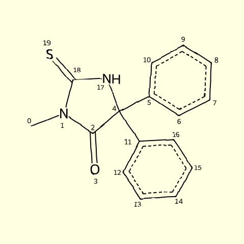 CN1C(=O)C(c2ccccc2)(c2ccccc2)NC1=S